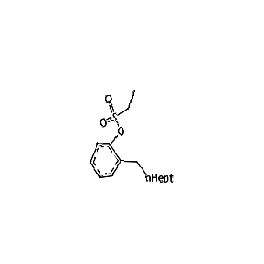 CCCCCCCCc1ccccc1OS(=O)(=O)CI